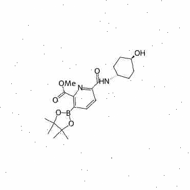 COC(=O)c1nc(C(=O)N[C@H]2CC[C@H](O)CC2)ccc1B1OC(C)(C)C(C)(C)O1